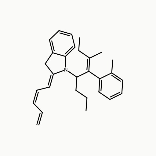 C=C/C=C\C=C1/Cc2ccccc2N1C(CCC)/C(=C(/C)CC)c1ccccc1C